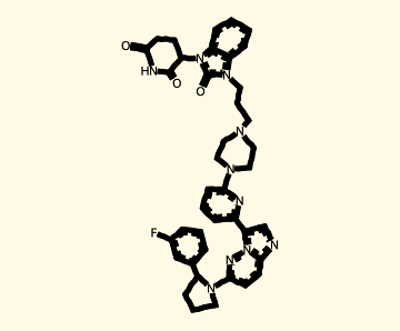 O=C1CCC(n2c(=O)n(CCCN3CCN(c4cccc(-c5cnc6ccc(N7CCCC7c7cccc(F)c7)nn56)n4)CC3)c3ccccc32)C(=O)N1